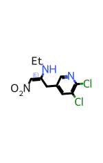 CCN/C(=C/[N+](=O)[O-])Cc1cnc(Cl)c(Cl)c1